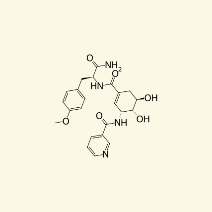 COc1ccc(C[C@H](NC(=O)C2=C[C@@H](NC(=O)c3cccnc3)[C@@H](O)[C@H](O)C2)C(N)=O)cc1